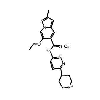 CCOc1cn2nc(C)cc2cc1C(=O)Nc1ccc(C2CCNCC2)nn1.Cl